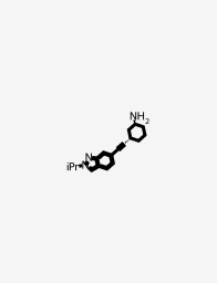 CC(C)n1cc2ccc(C#C[C@H]3CCC[C@H](N)C3)cc2n1